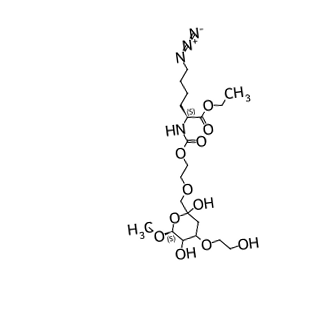 CCOC(=O)[C@H](CCCCN=[N+]=[N-])NC(=O)OCCOCC1(O)CC(OCCO)C(O)[C@@H](OC)O1